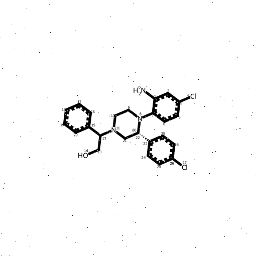 Nc1cc(Cl)ccc1N1CCN(C(CO)c2ccccc2)C[C@H]1c1ccc(Cl)cc1